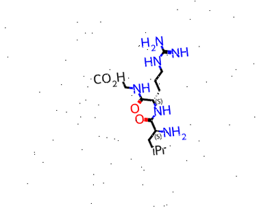 CC(C)C[C@H](N)C(=O)N[C@@H](CCCNC(=N)N)C(=O)NCC(=O)O